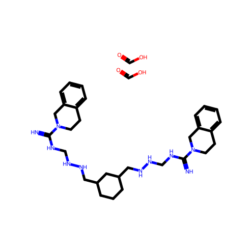 N=C(NCNNCC1CCCC(CNNCNC(=N)N2CCc3ccccc3C2)C1)N1CCc2ccccc2C1.O=CO.O=CO